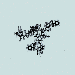 CO[C@H]1[C@@H](OP(=O)(O)OC[C@H]2O[C@@H](n3cnc4c(=O)[nH]c(NC(=O)c5ccccc5)nc43)[C@H](OC(=O)C(C)C)[C@@H]2OC(=O)C(C)C)[C@H](n2cnc3c(NC(=O)c4ccccc4)ncnc32)O[C@@H]1COP(=O)(O)OP(=O)(O)OP(=O)(O)OC[C@H]1O[C@@H](n2c[n+](C)c3c(=O)[nH]c(N)nc32)[C@H](O)[C@@H]1O